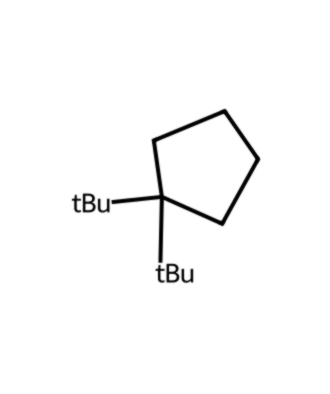 CC(C)(C)C1(C(C)(C)C)CCCC1